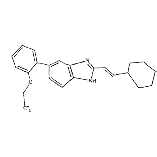 FC(F)(F)COc1ccccc1-c1ccc2[nH]c(C=CC3CCCCC3)nc2c1